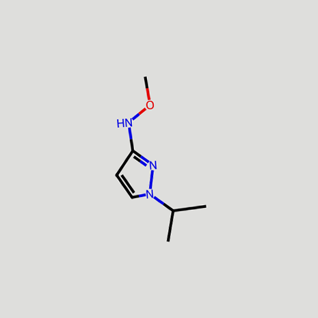 CONc1ccn(C(C)C)n1